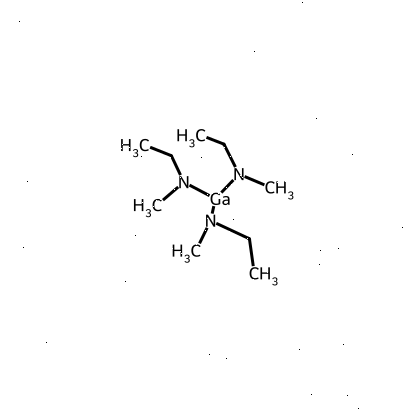 CC[N](C)[Ga]([N](C)CC)[N](C)CC